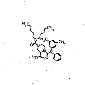 CCCCCN(CCCCC)C(=O)N1CCN(C(=O)N(c2ccccc2)c2cc(C)cc(C)c2)C(C(=O)O)C1